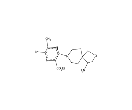 CCOC(=O)c1nc(Br)c(C)nc1N1CCC2(CC1)COCC2N